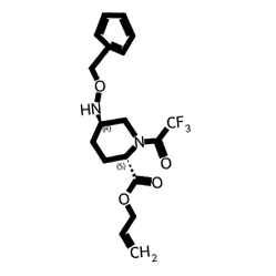 C=CCOC(=O)[C@@H]1CC[C@@H](NOCc2ccccc2)CN1C(=O)C(F)(F)F